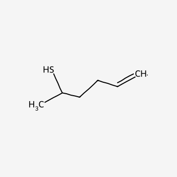 [CH]=CCCC(C)S